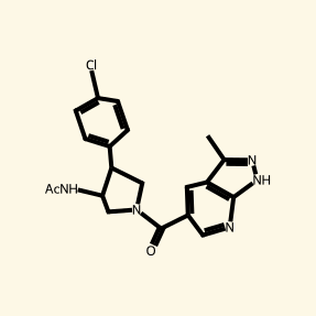 CC(=O)NC1CN(C(=O)c2cnc3[nH]nc(C)c3c2)CC1c1ccc(Cl)cc1